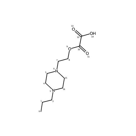 CCCN1CCN(CCOC(=O)C(=O)O)CC1